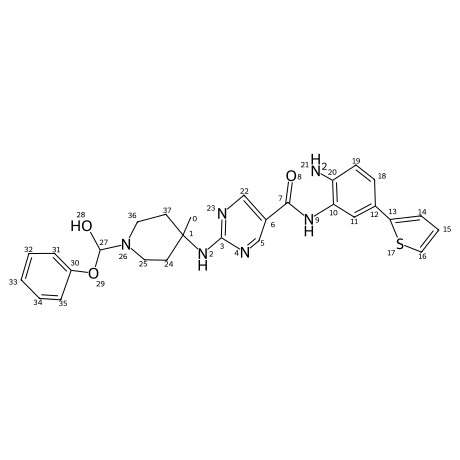 CC1(Nc2ncc(C(=O)Nc3cc(-c4cccs4)ccc3N)cn2)CCN(C(O)Oc2ccccc2)CC1